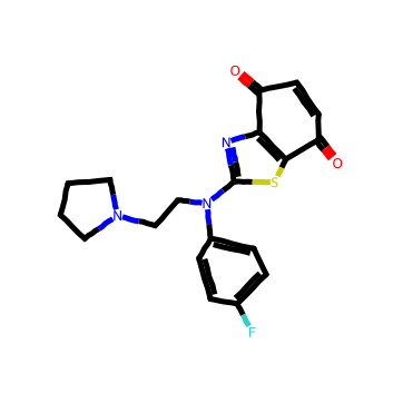 O=C1C=CC(=O)c2sc(N(CCN3CCCC3)c3ccc(F)cc3)nc21